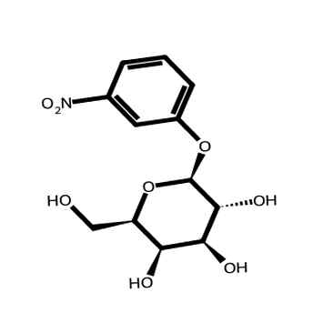 O=[N+]([O-])c1cccc(O[C@@H]2O[C@H](CO)[C@H](O)[C@H](O)[C@H]2O)c1